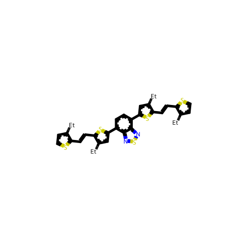 CCc1ccsc1/C=C/c1sc(-c2ccc(-c3cc(CC)c(/C=C/c4sccc4CC)s3)c3nsnc23)cc1CC